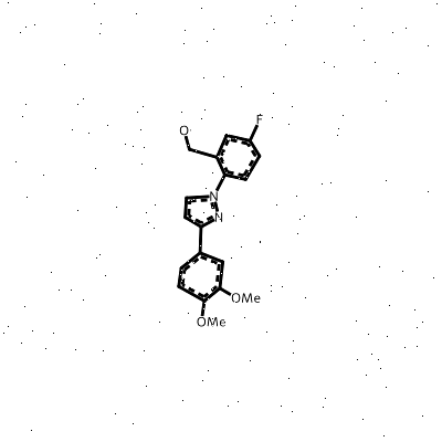 COc1ccc(-c2ccn(-c3ccc(F)cc3C[O])n2)cc1OC